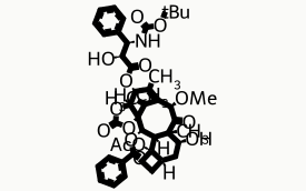 CO[C@H]1C(=O)[C@@]2(C)[C@H]([C@H](OC(=O)c3ccccc3)[C@]34OC(=O)O[C@H]3[C@H](OC(=O)[C@H](O)[C@@H](NC(=O)OC(C)(C)C)c3ccccc3)C(C)=C1C4(C)C)[C@]1(OC(C)=O)CC[C@@H]1C[C@@H]2O